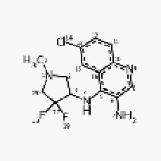 CN1CC(Nc2c(N)cnc3ccc(Cl)cc23)C(F)(F)C1